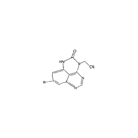 N#CCN1C(=O)Nc2cc(Br)cc3ncnc1c23